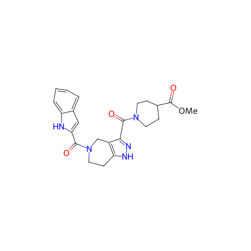 COC(=O)C1CCN(C(=O)c2n[nH]c3c2CN(C(=O)c2cc4ccccc4[nH]2)CC3)CC1